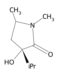 CC1C[C@](O)(C(C)C)C(=O)N1C